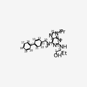 CC[C@H](CO)Nc1nc(N(C)Cc2ccc(-c3ccccc3)cc2)c2ncn(C(C)C)c2n1